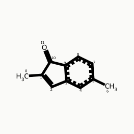 CC1=Cc2cc(C)ccc2C1=O